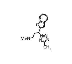 CNCCC(c1cc2ccccc2o1)n1nnc(C)n1